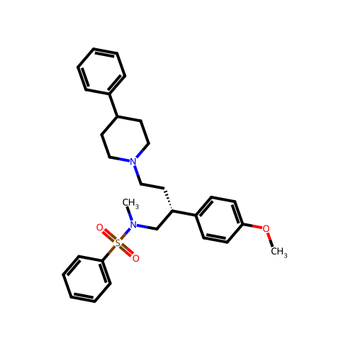 COc1ccc([C@@H](CCN2CCC(c3ccccc3)CC2)CN(C)S(=O)(=O)c2ccccc2)cc1